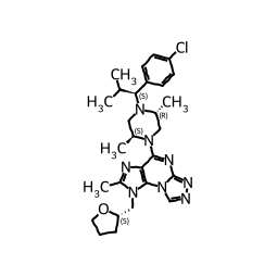 Cc1nc2c(N3C[C@@H](C)N([C@H](c4ccc(Cl)cc4)C(C)C)C[C@@H]3C)nc3nncn3c2n1C[C@@H]1CCCO1